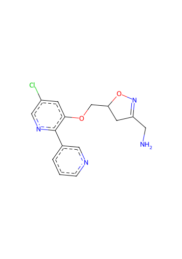 NCC1=NOC(COc2cc(Cl)cnc2-c2cccnc2)C1